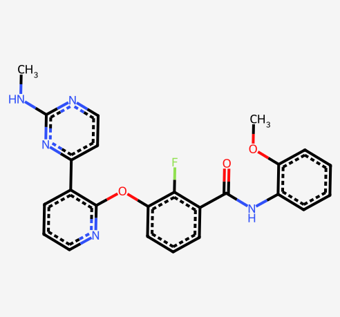 CNc1nccc(-c2cccnc2Oc2cccc(C(=O)Nc3ccccc3OC)c2F)n1